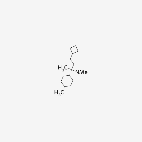 CNC(C)(CCC1CCC1)[C@H]1CC[C@@H](C)CC1